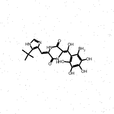 Bc1c(O)c(O)c(O)c(O)c1/C(O)=c1\[nH]c(=O)/c(=C/c2nc[nH]c2C(C)(C)C)[nH]c1=O